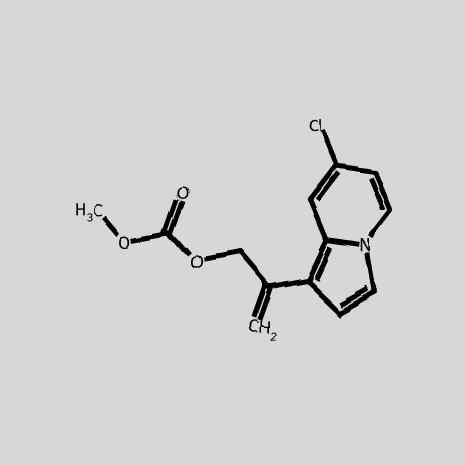 C=C(COC(=O)OC)c1ccn2ccc(Cl)cc12